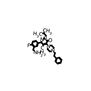 Cc1c(-c2ccc(F)c(CN)c2)nn(CC(C)C)c(=O)c1N1CCN(CCc2ccccc2)CC1